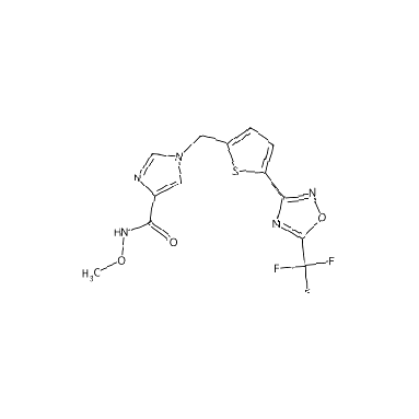 CONC(=O)c1cn(Cc2ccc(-c3noc(C(F)(F)F)n3)s2)cn1